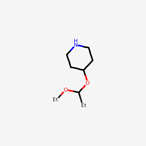 CCOC(CC)OC1CCNCC1